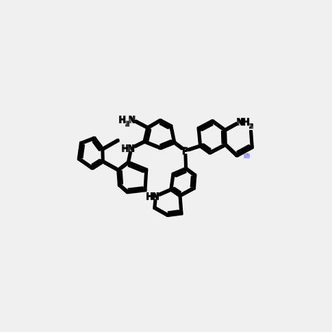 C/C=C\c1cc(P(c2ccc(N)c(Nc3ccccc3-c3ccccc3C)c2)c2ccc3c(c2)NCC=C3)ccc1N